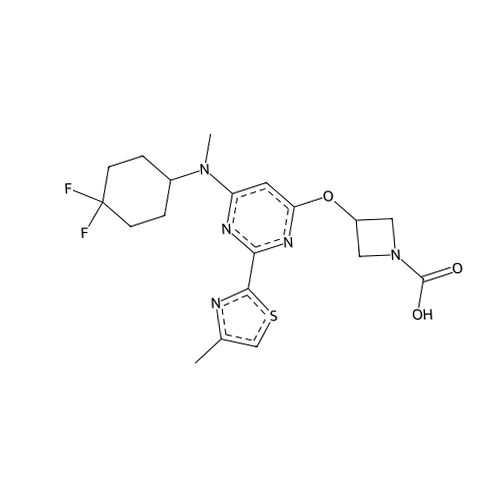 Cc1csc(-c2nc(OC3CN(C(=O)O)C3)cc(N(C)C3CCC(F)(F)CC3)n2)n1